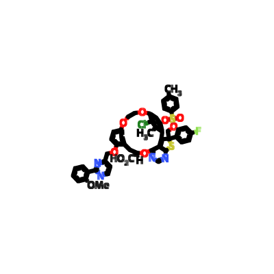 COc1ccccc1-c1nccc(COc2ccc3cc2C[C@H](C(=O)O)OC2=NC=NC4SC(COS(=O)(=O)c5ccc(C)cc5)(c5ccc(F)cc5)C(=C24)c2ccc(c(Cl)c2C)OCCO3)n1